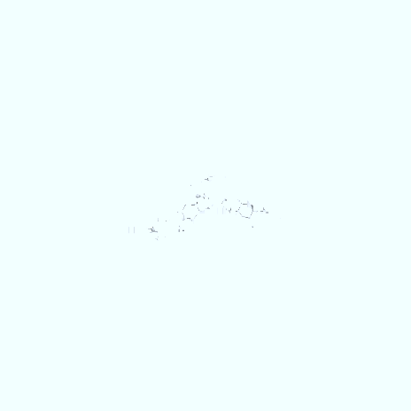 CCc1cc(NC(=O)C(=O)N2C[C@@H](C)CC[C@@H]2c2ccc(NC3CCN(C)CC3)cc2)cnc1N